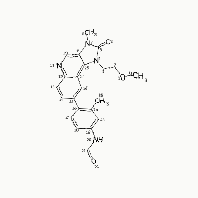 COCCn1c(=O)n(C)c2cnc3ccc(-c4ccc(NC=O)cc4C)cc3c21